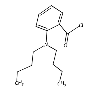 CCCCN(CCCC)c1ccccc1C(=O)Cl